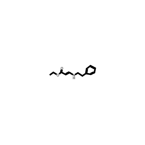 CCOC(=O)C=CNCCc1ccccc1